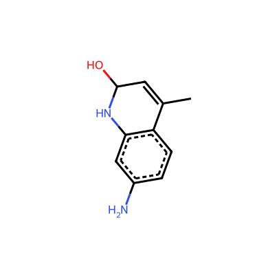 CC1=CC(O)Nc2cc(N)ccc21